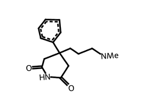 CNCCCC1(c2ccccc2)CC(=O)NC(=O)C1